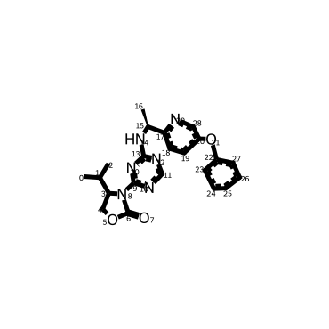 CC(C)C1COC(=O)N1c1ncnc(N[C@@H](C)c2ccc(Oc3ccccc3)cn2)n1